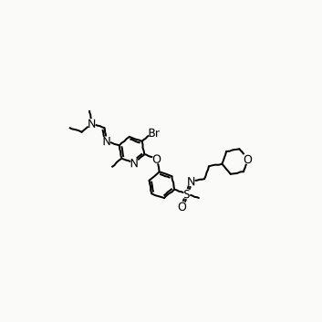 CCN(C)C=Nc1cc(Br)c(Oc2cccc(S(C)(=O)=NCCC3CCOCC3)c2)nc1C